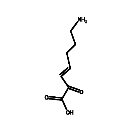 NCCCC=CC(=O)C(=O)O